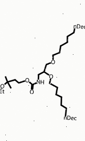 CCCCCCCCCCCCCCCCOCC(CNC(=O)OCCC(C)(C)OCC)OCCCCCCCCCCCCCCCC